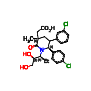 CC[C@@H]([C@H](O)CO)N1C(=O)[C@](C)(CC(=O)O)CC(c2cccc(Cl)c2)[C@H]1c1ccc(Cl)cc1